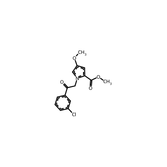 COC(=O)c1cc(OC)cn1CC(=O)c1cccc(Cl)c1